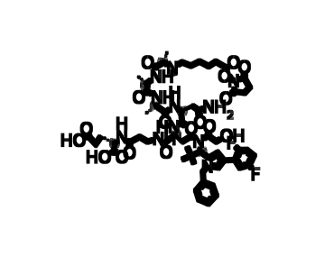 C[C@H](NC(=O)[C@H](C)NC(=O)[C@H](C)N(C)CCCCCC(=O)ON1C(=O)CCC1=O)C(=O)N[C@@H](CC(N)=O)C(=O)N[C@@H](CCN(C(=O)CO)[C@@H](c1cc(-c2cc(F)ccc2F)cn1Cc1ccccc1)C(C)(C)C)C(=O)NCCC(=O)N[C@@H](CCC(=O)O)C(=O)O